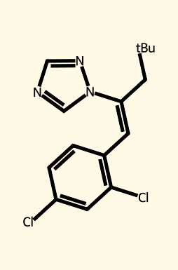 CC(C)(C)C/C(=C/c1ccc(Cl)cc1Cl)n1cncn1